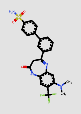 CN(C)c1cc2c(cc1C(F)(F)F)NC(=O)CC(c1cccc(-c3ccc(S(N)(=O)=O)cc3)c1)=N2